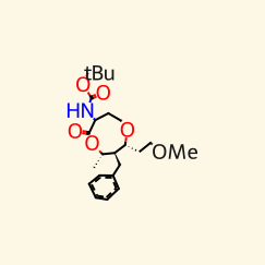 COCC[C@H]1OCC[C@H](NC(=O)OC(C)(C)C)C(=O)O[C@@H](C)[C@@H]1Cc1ccccc1